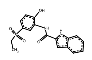 CCS(=O)(=O)c1ccc(O)c(NC(=O)c2cc3ccccc3[nH]2)c1